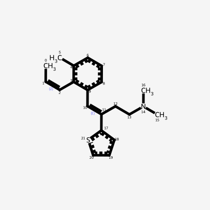 C/C=C\c1c(C)cccc1/C=C(\CCN(C)C)c1cccs1